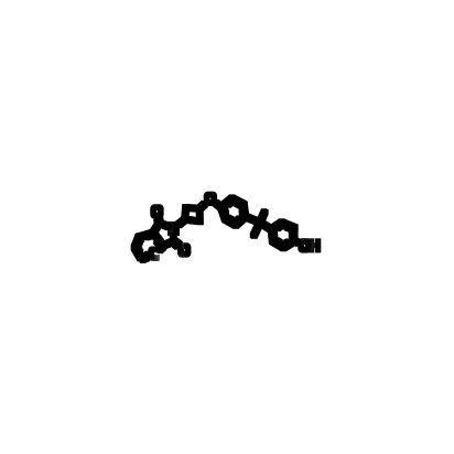 CC(C)(c1ccc(O)cc1)c1ccc(OC2CC(N3C(=O)c4ccccc4C3=O)C2)cc1